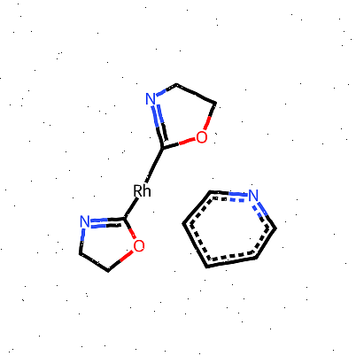 C1CO[C]([Rh][C]2=NCCO2)=N1.c1ccncc1